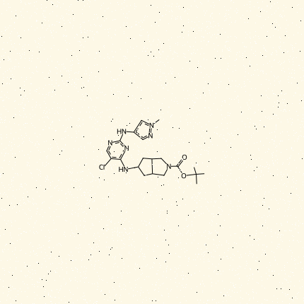 Cn1cc(Nc2ncc(Cl)c(NC3CC4CN(C(=O)OC(C)(C)C)CC4C3)n2)cn1